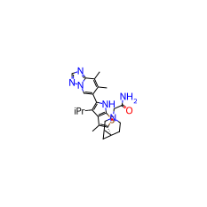 Cc1c(-c2[nH]c3sc([C@@]45CCN(CC(N)=O)CC4C5)c(C)c3c2C(C)C)cn2ncnc2c1C